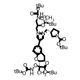 CC(C)(C)OC(=O)NCC(Cn1cc(-c2ccc3c(c2)CC[C@H](C(C)(ONC(=O)OC(C)(C)C)C(=O)OC(C)(C)C)O3)c[n+]1C[C@@H]1CCN(C(=O)OC(C)(C)C)C1)O[Si](C)(C)C(C)(C)C